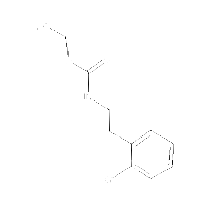 CCOC(=O)NCCc1ccccc1Cl